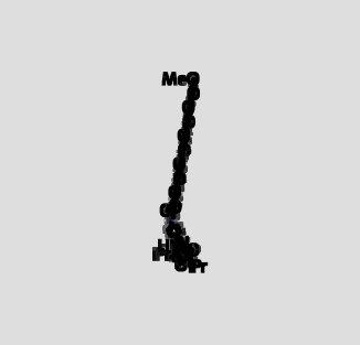 COCCOCCOCCOCCOCCOCCOCCOCCOCCOC(=O)/C=C/c1ccc(-c2nc3c(=O)n(CC(C)C)c(=O)n(CC(C)C)c3[nH]2)cc1